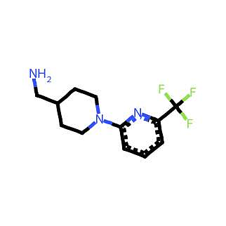 NCC1CCN(c2cccc(C(F)(F)F)n2)CC1